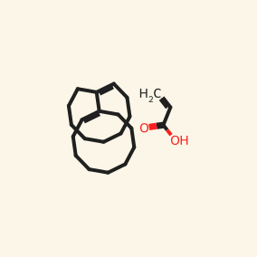 C1=C(\C2=C\CCCCCCCC2)CCCCCCCC/1.C=CC(=O)O